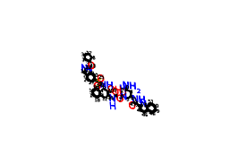 NC(=O)CC(CNOC(=O)N[C@@H](Cc1ccccc1)[C@H](O)CNS(=O)(=O)c1ccc2cnn(OC3CCCC3)c2c1)NC(=O)c1ccc2ccccc2n1